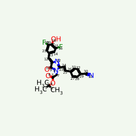 CC(C)(C)OC(=O)CN1C(=O)/C(=C/c2cc(F)c(O)c(F)c2)N=C1/C=C/c1ccc(C#N)cc1